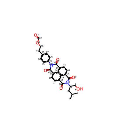 CC(C)CC(CO)N1C(=O)c2ccc3c4c(ccc(c24)C1=O)C(=O)N(c1ccc(CCOC=O)cc1)C3=O